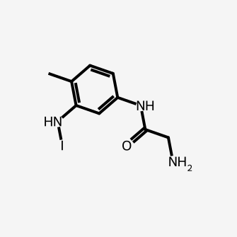 Cc1ccc(NC(=O)CN)cc1NI